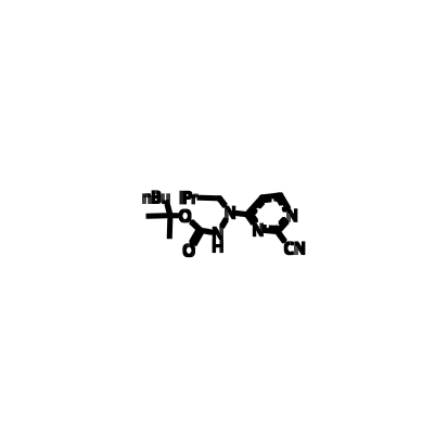 CCCCC(C)(C)OC(=O)NN(CC(C)C)c1ccnc(C#N)n1